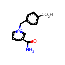 NC(=O)c1ccc[n+](Cc2ccc(C(=O)O)cc2)c1